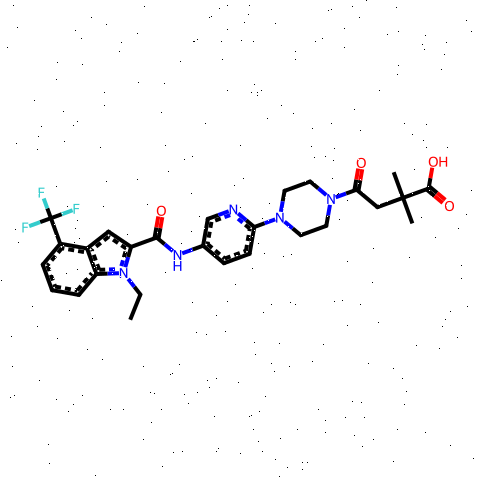 CCn1c(C(=O)Nc2ccc(N3CCN(C(=O)CC(C)(C)C(=O)O)CC3)nc2)cc2c(C(F)(F)F)cccc21